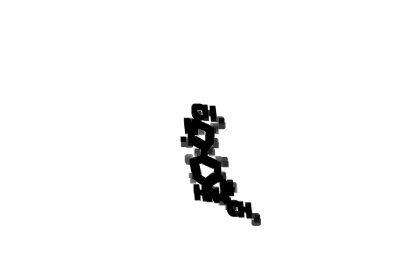 Cc1ccc(-c2ccc3[nH]c(C)nc3c2)cn1